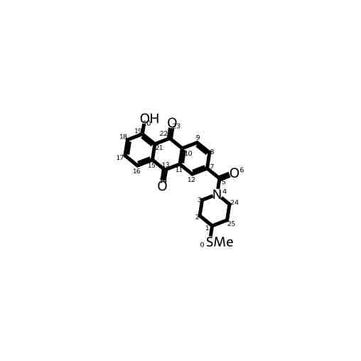 CSC1CCN(C(=O)c2ccc3c(c2)C(=O)c2cccc(O)c2C3=O)CC1